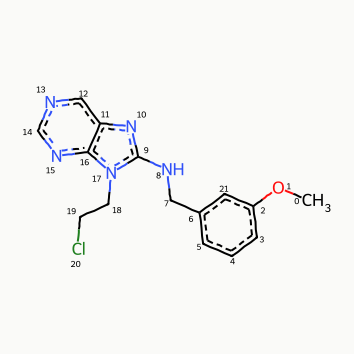 COc1cccc(CNc2nc3cncnc3n2CCCl)c1